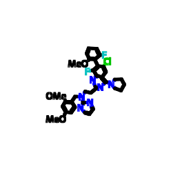 COc1ccc(CN(CCc2nc(N3CCCCC3)c3cc(Cl)c(-c4c(F)cccc4OC)c(F)c3n2)c2ncccn2)c(OC)c1